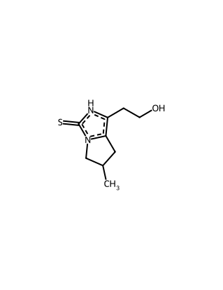 CC1Cc2c(CCO)[nH]c(=S)n2C1